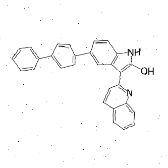 Oc1[nH]c2ccc(-c3ccc(-c4ccccc4)cc3)cc2c1-c1ccc2ccccc2n1